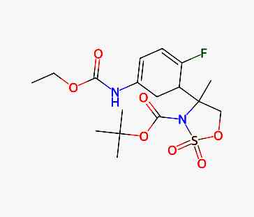 CCOC(=O)NC1=CC=C(F)C(C2(C)COS(=O)(=O)N2C(=O)OC(C)(C)C)C1